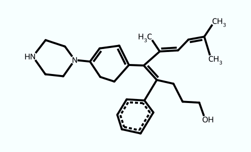 CC(C)=C/C=C(C)/C(C1=CC=C(N2CCNCC2)CC1)=C(\CCCO)c1ccccc1